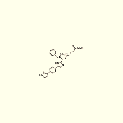 CNC(=O)CCCCCC(c1ncc(-c2ccc(-c3cc[nH]n3)cc2)[nH]1)N(Cc1ccccc1)C(=O)O